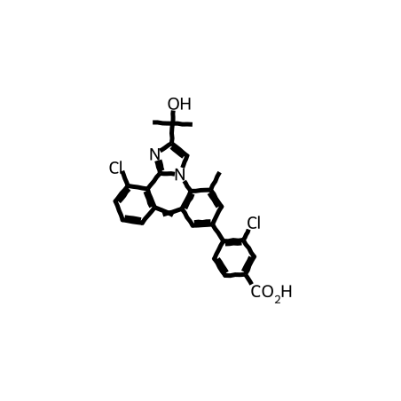 Cc1cccc(Cl)c1-c1nc(C(C)(C)O)cn1-c1c(C)cc(-c2ccc(C(=O)O)cc2Cl)cc1C